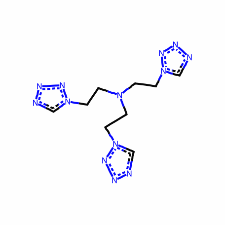 c1nnnn1CCN(CCn1cnnn1)CCn1cnnn1